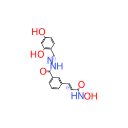 O=C(/C=C/c1cccc(C(=O)N/N=C/c2ccc(O)cc2O)c1)NO